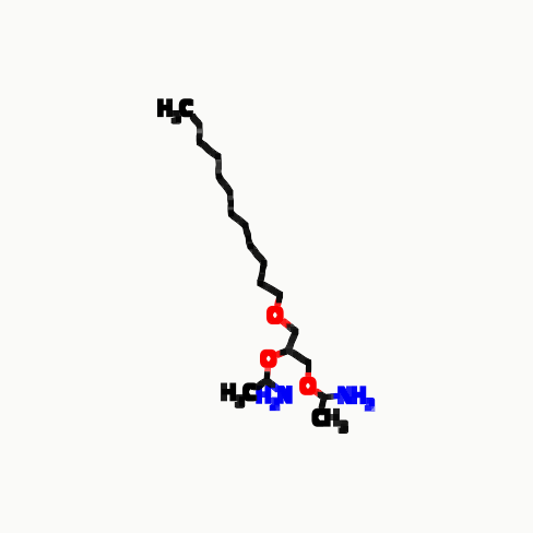 CCCCCCCCCCCCOCC(COC(C)N)OC(C)N